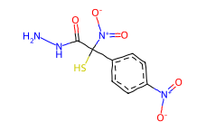 NNC(=O)C(S)(c1ccc([N+](=O)[O-])cc1)[N+](=O)[O-]